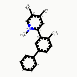 Cc1ccc(-c2ccccc2)cc1-c1cc(C(C)C)c(C)c[n+]1C